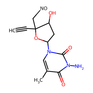 C#CC1(CN=O)OC(n2cc(C)c(=O)n(N)c2=O)CC1O